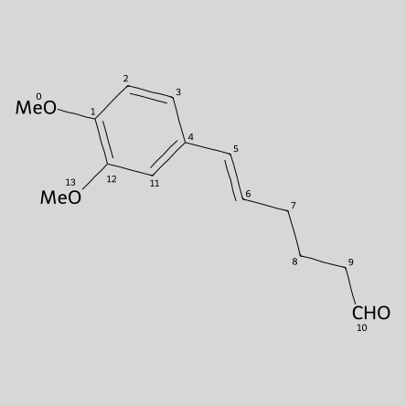 COc1ccc(C=CCCCC=O)cc1OC